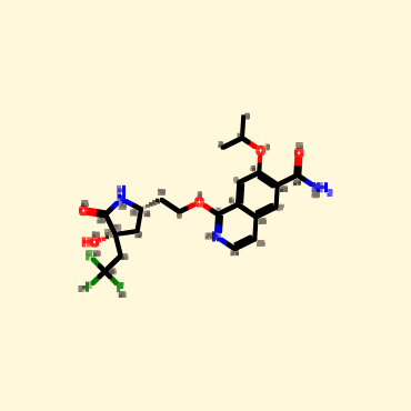 CC(C)Oc1cc2c(OCC[C@@H]3C[C@@](O)(CC(F)(F)F)C(=O)N3)nccc2cc1C(N)=O